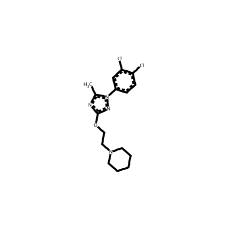 Cc1nc(OCCN2CCCCC2)nn1-c1ccc(Cl)c(Cl)c1